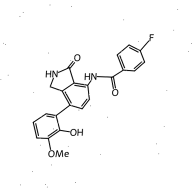 COc1cccc(-c2ccc(NC(=O)c3ccc(F)cc3)c3c2CNC3=O)c1O